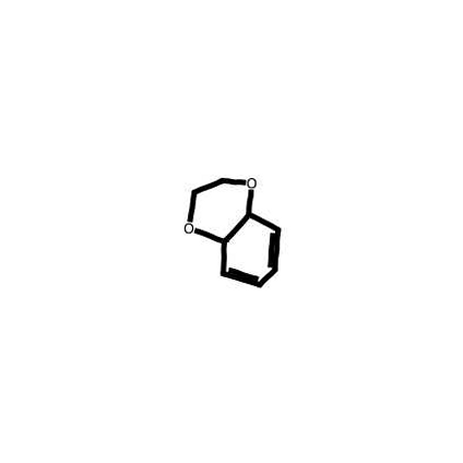 C1=C[C]2OCCOC2C=C1